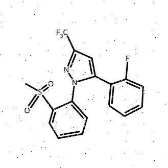 CS(=O)(=O)c1ccccc1-n1nc(C(F)(F)F)cc1-c1ccccc1F